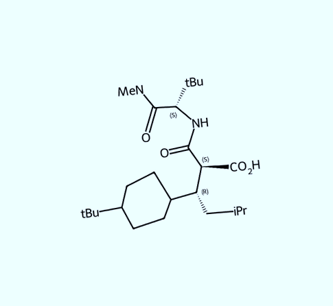 CNC(=O)[C@@H](NC(=O)[C@@H](C(=O)O)[C@H](CC(C)C)C1CCC(C(C)(C)C)CC1)C(C)(C)C